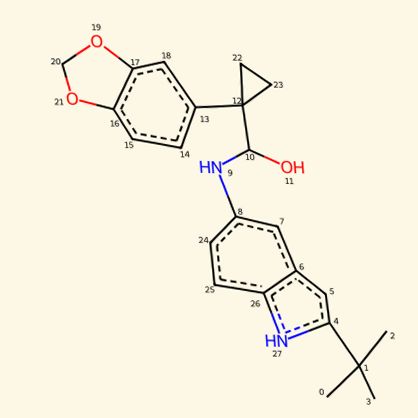 CC(C)(C)c1cc2cc(NC(O)C3(c4ccc5c(c4)OCO5)CC3)ccc2[nH]1